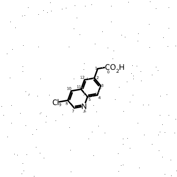 O=C(O)Cc1ccc2ncc(Cl)cc2c1